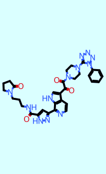 O=C(NCCCN1CCCC1=O)c1cc(-c2nccc3c(C(=O)C(=O)N4CCN(c5nnnn5-c5ccccc5)CC4)c[nH]c23)n[nH]1